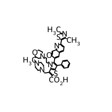 Cc1nc(C)c(-c2ccc3cc(-c4c(-c5ccccc5)c5sc(C(=O)O)c(CN6CCN(C)CC6)c5n4CC(=O)N4CCOCC4)ccc3n2)s1